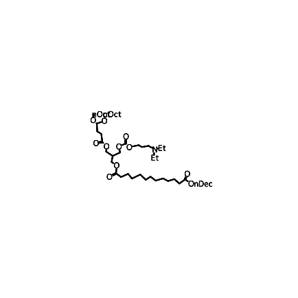 CCCCCCCCCCOC(=O)CCCCCCCCCCCC(=O)OCC(COC(=O)CCC(OCCCCCCCC)OCCCCCCCC)COC(=O)OCCCN(CC)CC